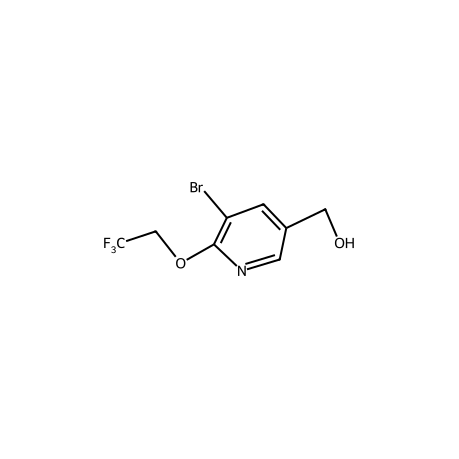 OCc1cnc(OCC(F)(F)F)c(Br)c1